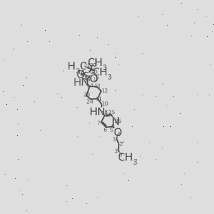 CCCCOc1ccc(NCC2CCC(NS(=O)(=O)C(C)(C)C)CC2)cn1